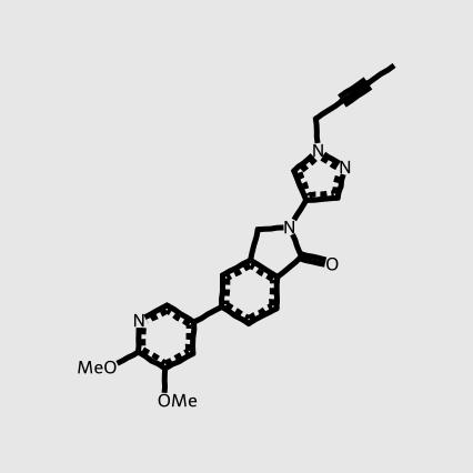 CC#CCn1cc(N2Cc3cc(-c4cnc(OC)c(OC)c4)ccc3C2=O)cn1